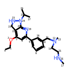 CCOc1cc(-c2cccc(CN(C)CCNC)c2)nc2c1CNN2C(C)C